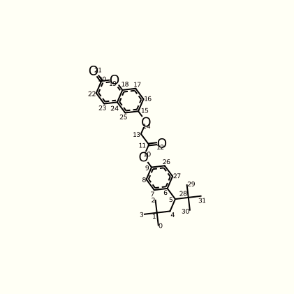 CC(C)(C)CC(c1ccc(OC(=O)COc2ccc3oc(=O)ccc3c2)cc1)C(C)(C)C